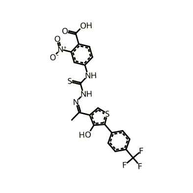 C/C(=N/NC(=S)Nc1ccc(C(=O)O)c([N+](=O)[O-])c1)c1csc(-c2ccc(C(F)(F)F)cc2)c1O